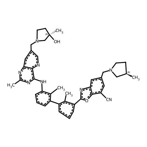 Cc1nc(Nc2cccc(-c3cccc(-c4nc5cc(CN6CC[C@@H](C)C6)cc(C#N)c5o4)c3C)c2C)c2ncc(CN3CC[C@@](C)(O)C3)cc2n1